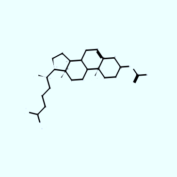 [CH2]C(=O)OC1CC[C@@]2(C)C(=CCC3C2CC[C@@]2(C)C3CC[C@@H]2[C@H](C)CCCC(C)C)C1